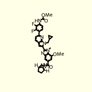 COC(=O)Nc1ccc(-c2ccc3cc(-c4nc5cc(C(=O)N6C[C@H]7CC[C@@H]6[C@@H]7N)cc(OC)c5n4C)n(CC4CC4)c3n2)c(F)c1F